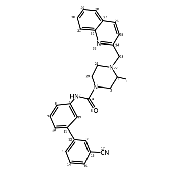 CC1CN(C(=O)Nc2cccc(-c3cccc(C#N)c3)c2)CCN1Cc1ccc2ccccc2n1